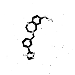 COc1ccc2c(c1)CN(Cc1cccc(-c3nnc[nH]3)c1)CCS2